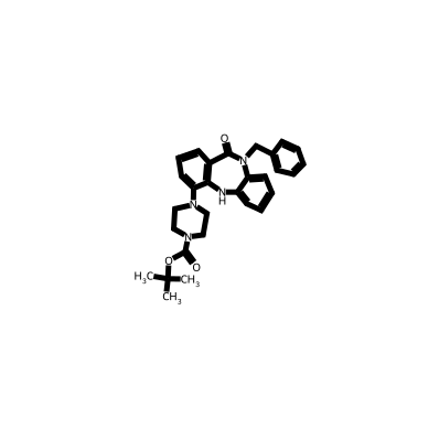 CC(C)(C)OC(=O)N1CCN(c2cccc3c2Nc2ccccc2N(Cc2ccccc2)C3=O)CC1